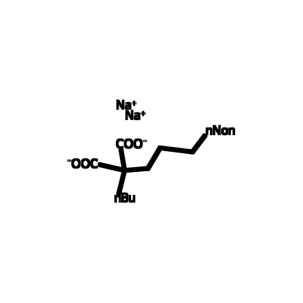 CCCCCCCCCCCCC(CCCC)(C(=O)[O-])C(=O)[O-].[Na+].[Na+]